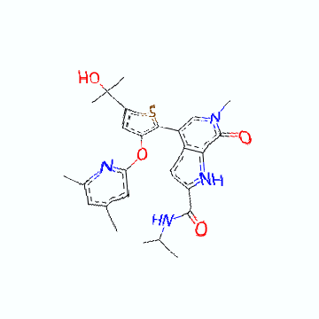 Cc1cc(C)nc(Oc2cc(C(C)(C)O)sc2-c2cn(C)c(=O)c3[nH]c(C(=O)NC(C)C)cc23)c1